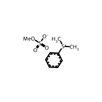 COS(=O)(=O)[O-].C[S+](C)c1ccccc1